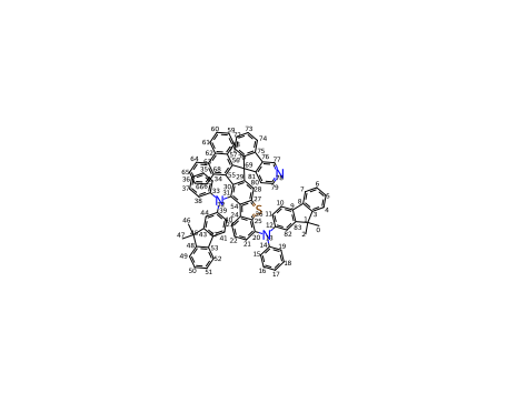 CC1(C)c2ccccc2-c2ccc(N(c3ccccc3)c3cccc4c3sc3cc5c(c(N(c6ccccc6)c6ccc7c(c6)C(C)(C)c6ccccc6-7)c34)-c3c(c4ccccc4c4ccccc34)C53c4ccccc4-c4cnccc43)cc21